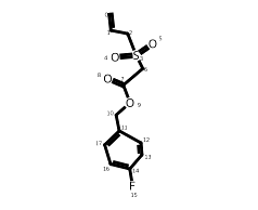 C=CCS(=O)(=O)CC(=O)OCc1ccc(F)cc1